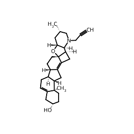 C#CCN1C[C@@H](C)C[C@H]2O[C@@]34CC[C@@H]5C(=C3C[C@@H]4[C@@H]21)C[C@H]1[C@H]5CC=C2C[C@@H](O)CC[C@@]21C